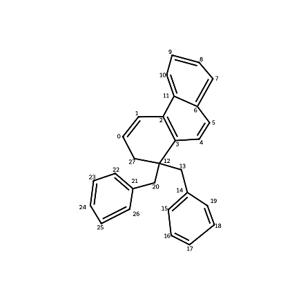 C1=Cc2c(ccc3ccccc23)C(Cc2ccccc2)(Cc2ccccc2)C1